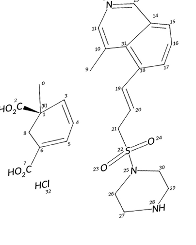 C[C@]1(C(=O)O)C=CC=C(C(=O)O)C1.Cc1cncc2cccc(C=CCS(=O)(=O)N3CCNCC3)c12.Cl